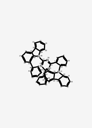 c1ccc(-c2nc(-c3ccccc3-n3c4ccccc4c4ccccc43)nc(-n3c4ccccc4c4cccc(-c5ccccc5)c43)n2)cc1